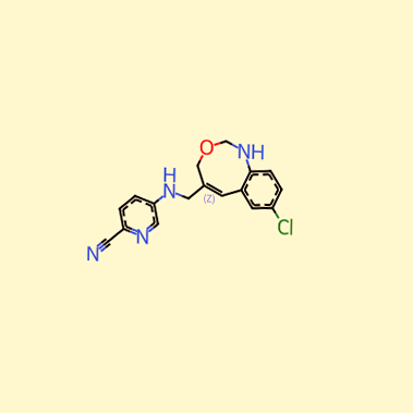 N#Cc1ccc(NC/C2=C/c3cc(Cl)ccc3NCOC2)cn1